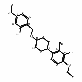 CCOc1ccc(C2CCC(OCc3ccc(CC)cc3F)CC2)c(F)c1F